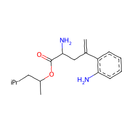 C=C(CC(N)C(=O)OC(C)CC(C)C)c1ccccc1N